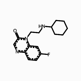 O=c1cnc2ccc(F)cc2n1CCNC1CCCCC1